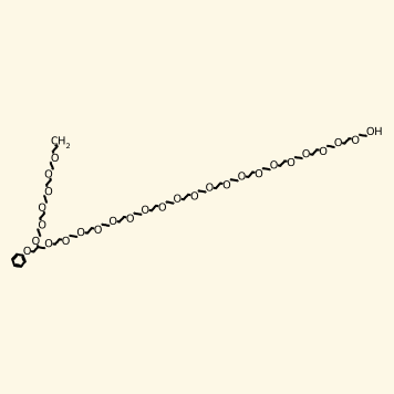 C=CCOCCOCCOCCOCCOCCOC(COCCOCCOCCOCCOCCOCCOCCOCCOCCOCCOCCOCCOCCOCCOCCOCCOCCOCCOCCOCCO)COc1ccccc1